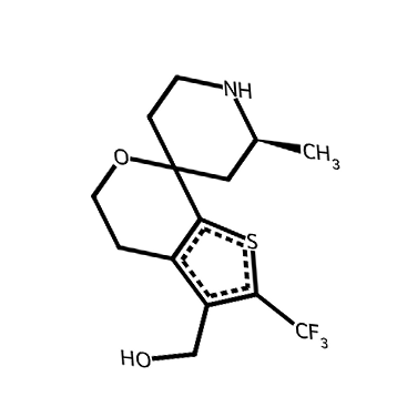 C[C@H]1CC2(CCN1)OCCc1c2sc(C(F)(F)F)c1CO